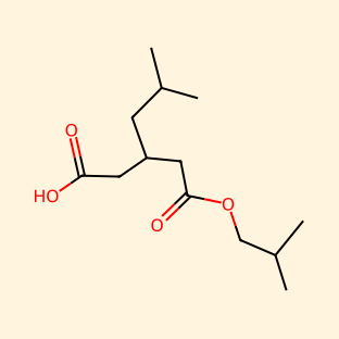 CC(C)COC(=O)CC(CC(=O)O)CC(C)C